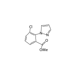 COC(=O)c1cccc(Cl)c1-n1cccn1